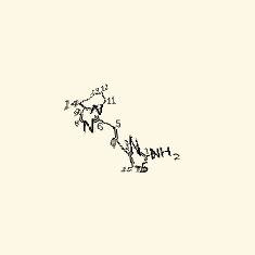 Nc1nc(/C=C/c2ncc3n2CCCC3)cs1